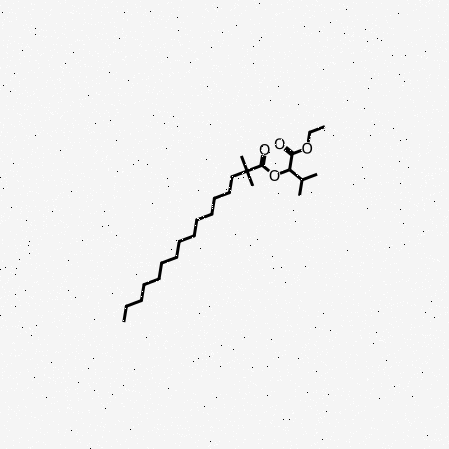 CCCCCCCCCCCCCCC(C)(C)C(=O)OC(C(=O)OCC)C(C)C